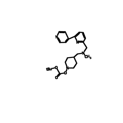 CN(Cc1cccc(-c2ccncc2)n1)CC1CCN(OC(=O)OC(C)(C)C)CC1